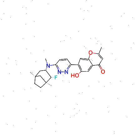 Cc1cc(=O)c2cc(O)c(-c3ccc(N(C)[C@H]4C[C@]5(C)CC[C@@](C)(C5)[C@H]4F)nn3)cc2o1